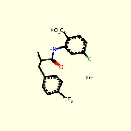 CC(Cc1ccc(C(F)(F)F)cc1)C(=O)Nc1cc(Cl)ccc1C(=O)O.[LiH]